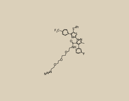 Cc1nn(-c2nc(-c3ccc(C(F)(F)F)cc3)c(SC(C)C)s2)c(C(=O)NCCOCCOCCOCCN=[N+]=[N-])c1-c1cccc(F)c1